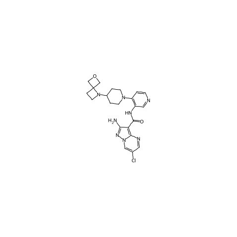 Nc1nn2cc(Cl)cnc2c1C(=O)Nc1cnccc1N1CCC(N2CCC23COC3)CC1